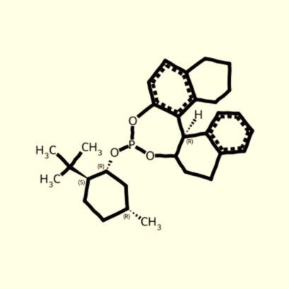 C[C@@H]1CC[C@@H](C(C)(C)C)[C@H](OP2Oc3ccc4c(c3[C@H]3c5ccccc5CCC3O2)CCCC4)C1